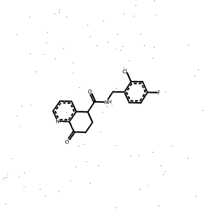 O=C1CCC(C(=O)NCc2ccc(F)cc2Cl)c2cccnc21